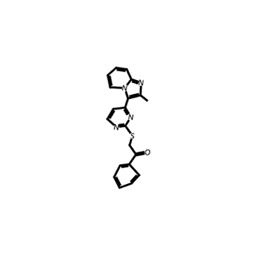 Cc1nc2ccccn2c1-c1ccnc(SCC(=O)c2ccccc2)n1